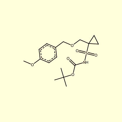 COc1ccc(COCC2(S(=O)(=O)NC(=O)OC(C)(C)C)CC2)cc1